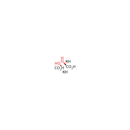 O=C(O)O.O=C(O)O.[KH].[KH]